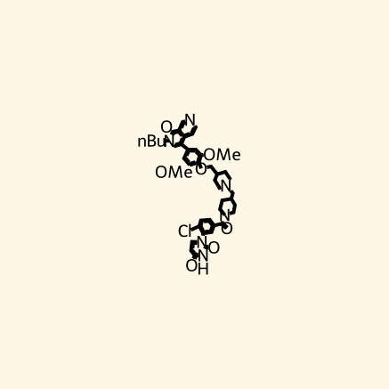 CCCCn1cc(-c2cc(OC)c(OCC3CCN(CC4CCN(C(=O)c5ccc(Cl)c(-n6ccc(=O)[nH]c6=O)c5)CC4)CC3)c(OC)c2)c2ccncc2c1=O